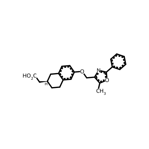 Cc1oc(-c2ccccc2)nc1COc1ccc2c(c1)CC[C@@H](CC(=O)O)C2